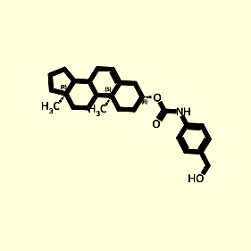 C[C@]12CCCC1C1CC=C3C[C@H](OC(=O)Nc4ccc(CO)cc4)CC[C@@]3(C)C1CC2